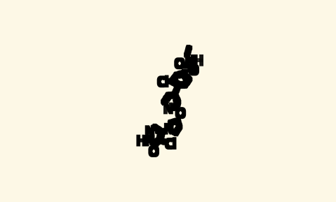 CCNS(=O)(=O)c1ccc(-c2ccnc(O[C@@H]3CCN(c4cn[nH]c(=O)c4Cl)C3)c2)c(Cl)c1